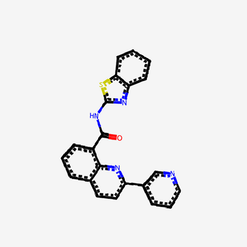 O=C(Nc1nc2ccccc2s1)c1cccc2ccc(-c3cccnc3)nc12